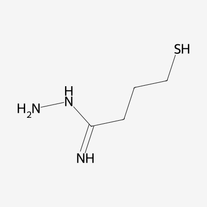 N=C(CCCS)NN